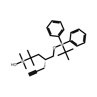 C#CC[C@@H](CO[Si](c1ccccc1)(c1ccccc1)C(C)(C)C)CC(C)(C)[Si](C)(C)O